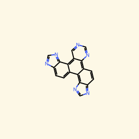 C1=Nc2ccc3c4c5c(ccc4c4ncncc4c3c2=N1)=NC=N5